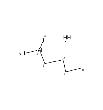 CCC[CH2][Al]([I])[I].[HH]